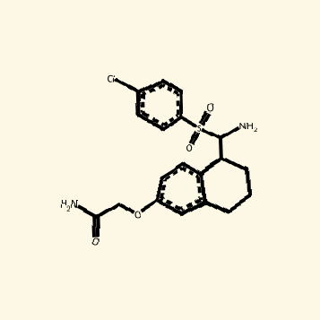 NC(=O)COc1ccc2c(c1)CCCC2C(N)S(=O)(=O)c1ccc(Cl)cc1